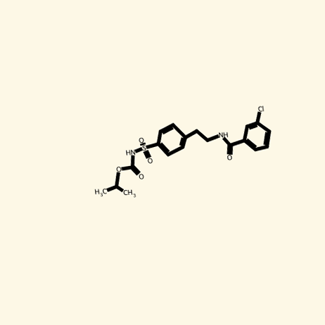 CC(C)OC(=O)NS(=O)(=O)c1ccc(CCNC(=O)c2cccc(Cl)c2)cc1